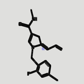 C=C/C=C1\CC(C(=O)NC)=CN1Cc1ccc(C)cc1F